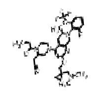 C=CC(=O)N1CCN(c2nc(OCC3(CN(C)C)CC3)nc3c2C[C@@H](C)N(c2c(F)cccc2OC(F)(F)F)C3)CC1CC#N